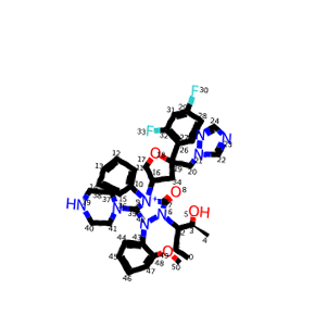 CCC([C@H](C)O)N1C(=O)[N+](c2ccccc2)(C2COC(Cn3cncn3)(c3ccc(F)cc3F)C2)C(N2CCNCC2)N1c1ccccc1OC